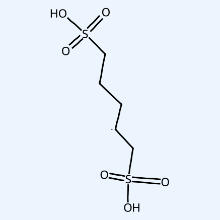 O=S(=O)(O)C[CH]CCCS(=O)(=O)O